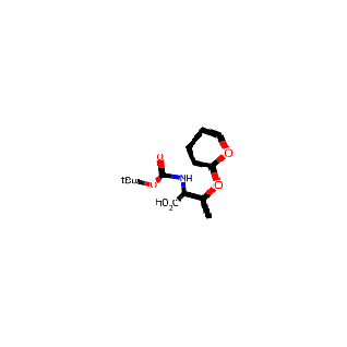 CC(OC1CCCCO1)C(NC(=O)OC(C)(C)C)C(=O)O